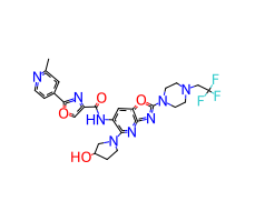 Cc1cc(-c2nc(C(=O)Nc3cc4oc(N5CCN(CC(F)(F)F)CC5)nc4nc3N3CCC(O)C3)co2)ccn1